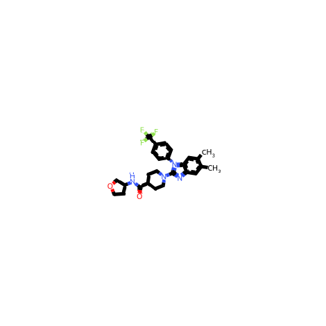 Cc1cc2nc(N3CCC(C(=O)NC4CCOC4)CC3)n(-c3ccc(C(F)(F)F)cc3)c2cc1C